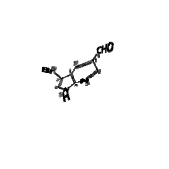 O=Cc1cnc2[nH]cc(Br)c2c1